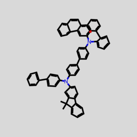 CC1(C)c2ccccc2-c2ccc(N(c3ccc(-c4ccccc4)cc3)c3ccc(-c4ccc(N(c5ccc6ccc7ccccc7c6c5)c5ccccc5-c5ccccc5)cc4)cc3)cc21